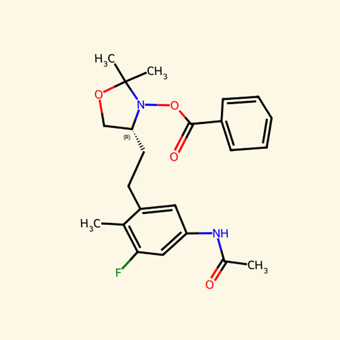 CC(=O)Nc1cc(F)c(C)c(CC[C@@H]2COC(C)(C)N2OC(=O)c2ccccc2)c1